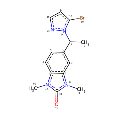 CC(c1ccc2c(c1)n(C)c(=O)n2C)n1nccc1Br